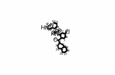 O=C(c1ccc(Cl)cc1NS(=O)(=O)C1=CC=CN2SNC=C12)C1CCc2ccccc2C1